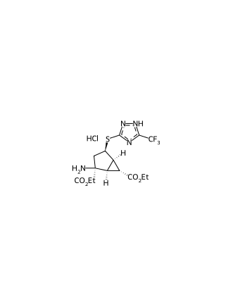 CCOC(=O)[C@H]1[C@H]2[C@@H]1[C@](N)(C(=O)OCC)C[C@H]2Sc1n[nH]c(C(F)(F)F)n1.Cl